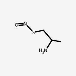 CC(N)CSN=O